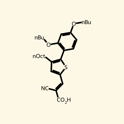 CCCCCCCCc1cc(/C=C(\C#N)C(=O)O)sc1-c1ccc(OCCCC)cc1OCCCC